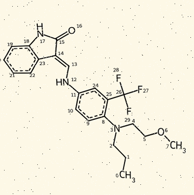 CCCN(CCOC)c1ccc(N/C=C2/C(=O)Nc3ccccc32)cc1C(F)(F)F